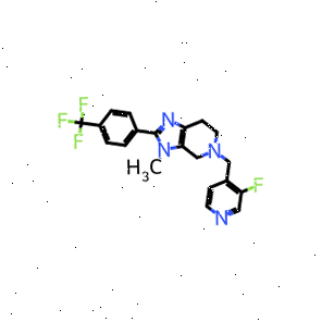 Cn1c(-c2ccc(C(F)(F)F)cc2)nc2c1CN(Cc1ccncc1F)CC2